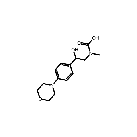 CN(CC(O)c1ccc(N2CCOCC2)cc1)C(=O)O